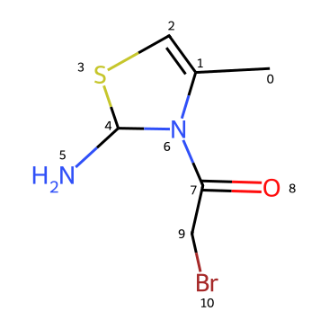 CC1=CSC(N)N1C(=O)CBr